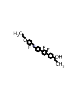 C=CCCOc1ccc(/C=C/c2ccc(-c3ccc(C4CCC(C(O)CCC)CC4)c(F)c3F)cc2)c(F)c1